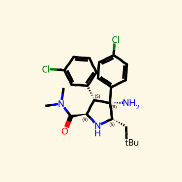 CN(C)C(=O)[C@@H]1N[C@@H](CC(C)(C)C)[C@](N)(c2ccc(Cl)cc2)[C@H]1c1cccc(Cl)c1